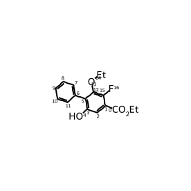 CCOC(=O)c1cc(O)c(-c2ccccc2)c(OCC)c1F